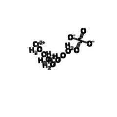 O.O.O.O.O.O.O.O=S(=O)([O-])[O-].[Cr+2]